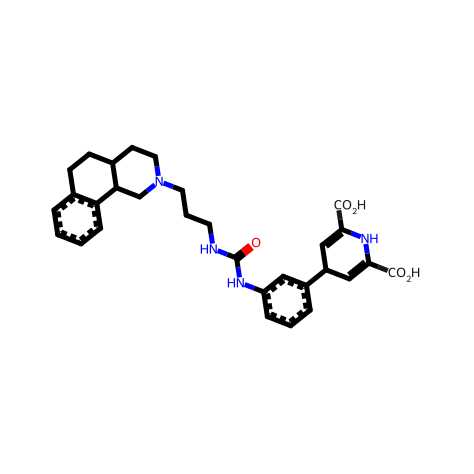 O=C(NCCCN1CCC2CCc3ccccc3C2C1)Nc1cccc(C2C=C(C(=O)O)NC(C(=O)O)=C2)c1